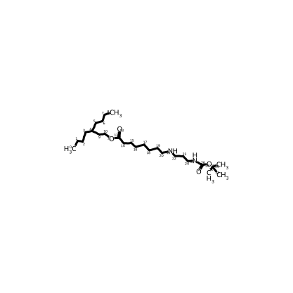 CCCCC(CCCC)CCOC(=O)CCCCCCCNCCCNC(=O)OC(C)(C)C